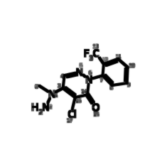 CN(N)c1cnn(-c2ccccc2C(F)(F)F)c(=O)c1Cl